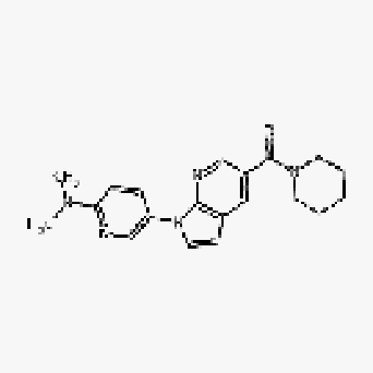 CN(C)c1ccc(-n2ccc3cc(C(=O)N4CCCCC4)cnc32)cn1